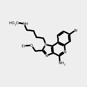 CCOCc1nc2c(N)nc3cc(Br)ccc3c2n1CCCCNC(=O)O